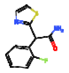 NC(=O)C(c1nccs1)c1ccccc1F